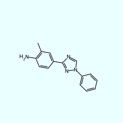 Cc1cc(-c2ncn(-c3ccccc3)n2)ccc1N